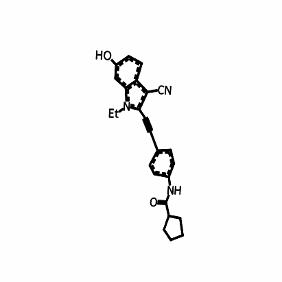 CCn1c(C#Cc2ccc(NC(=O)C3CCCC3)cc2)c(C#N)c2ccc(O)cc21